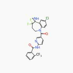 O=C(Nc1ccc(C(=O)N2CCC(F)(F)C3(CN3)c3cc(Cl)ccc32)cn1)c1ccccc1C(F)(F)F